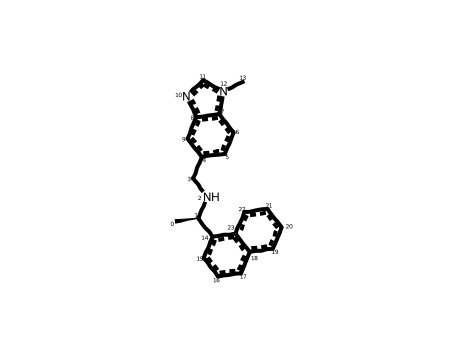 C[C@@H](NCc1ccc2c(c1)ncn2C)c1cccc2ccccc12